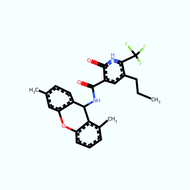 CCCc1cc(C(=O)NC2c3ccc(C)cc3Oc3cccc(C)c32)c(=O)[nH]c1C(F)(F)F